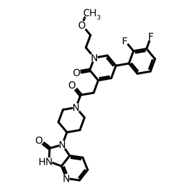 COCCn1cc(-c2cccc(F)c2F)cc(CC(=O)N2CCC(n3c(=O)[nH]c4ncccc43)CC2)c1=O